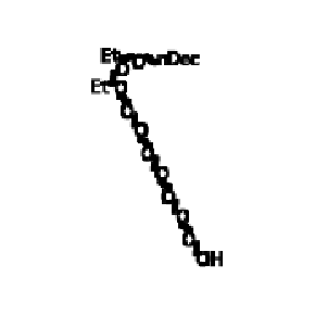 CCCCCCCCCCCCOCC(CC)OCC(CC)OCCOCCOCCOCCOCCOCCOCCOCCO